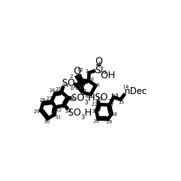 CC1(C)C2CCC1(CS(=O)O)C(=O)C2.CCCCCCCCCCCCc1ccccc1S(=O)(=O)O.O=S(=O)(O)c1cc2ccccc2c(S(=O)(=O)O)c1S(=O)(=O)O